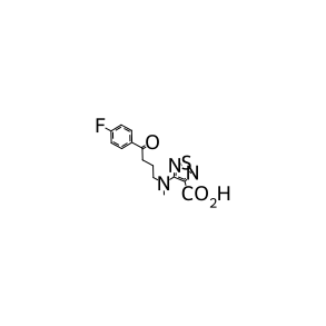 CN(CCCC(=O)c1ccc(F)cc1)c1nsnc1C(=O)O